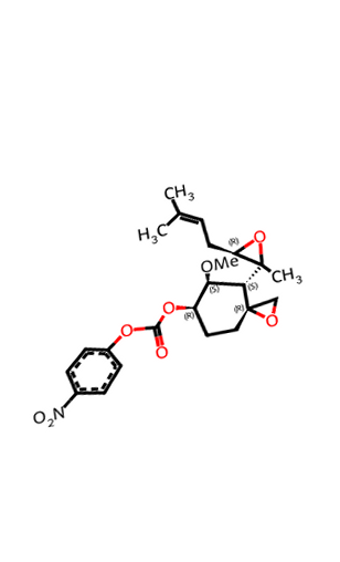 CO[C@H]1[C@H](C2(C)O[C@@H]2CC=C(C)C)[C@]2(CC[C@H]1OC(=O)Oc1ccc([N+](=O)[O-])cc1)CO2